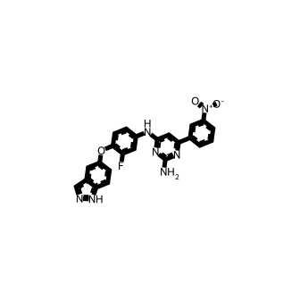 Nc1nc(Nc2ccc(Oc3ccc4[nH]ncc4c3)c(F)c2)cc(-c2cccc([N+](=O)[O-])c2)n1